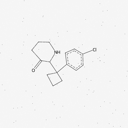 O=C1CCCNC1C1(c2ccc(Cl)cc2)CCC1